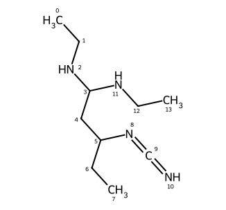 CCNC(CC(CC)N=C=N)NCC